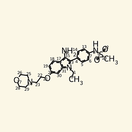 CCn1c(-c2ccc(NS(C)(=O)=O)cc2)c(N)c2ccc(OCCN3CCOCC3)cc21